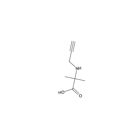 C#CCNC(C)(C)C(=O)O